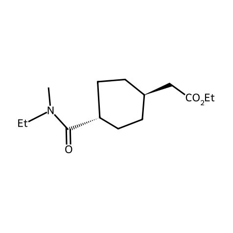 CCOC(=O)C[C@H]1CC[C@H](C(=O)N(C)CC)CC1